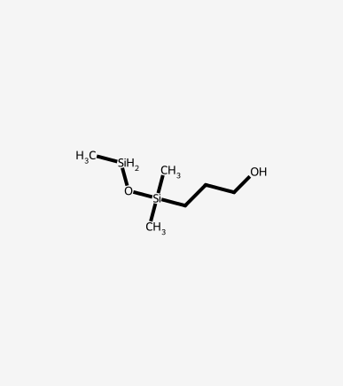 C[SiH2]O[Si](C)(C)CCCO